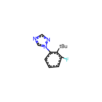 CC(C)(C)c1c(F)cccc1-n1cncn1